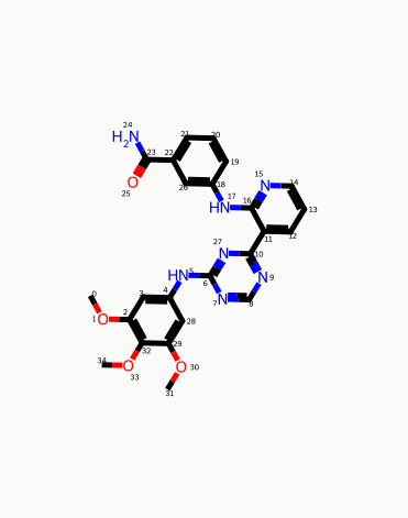 COc1cc(Nc2ncnc(-c3cccnc3Nc3cccc(C(N)=O)c3)n2)cc(OC)c1OC